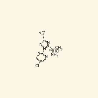 C[C@H](N)c1nc(C2CC2)nn1-c1ncc(Cl)cn1.Cl